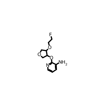 Nc1cccnc1OC1COCC1OCCF